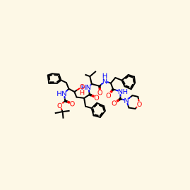 CC(C)C(NC(=O)C(Cc1ccccc1)CC(O)C(Cc1ccccc1)NC(=O)OC(C)(C)C)C(=O)NC(Cc1ccccc1)C(=O)NC(=O)N1CCOCC1